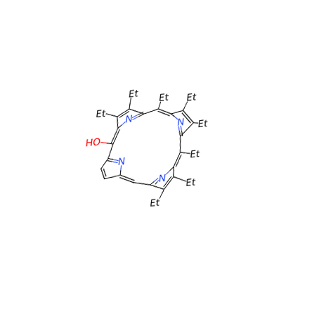 CCC1=C(CC)C2=C(CC)C3=NC(=C(CC)C4=NC(=C(O)C5=NC(=CC1=N2)C=C5)C(CC)=C4CC)C(CC)=C3CC